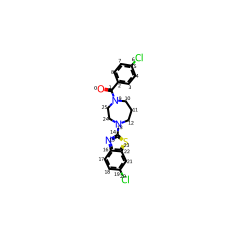 O=C(c1ccc(Cl)cc1)N1CCCN(c2nc3ccc(Cl)cc3s2)CC1